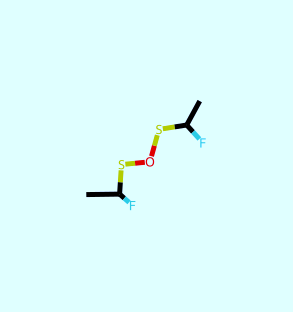 CC(F)SOSC(C)F